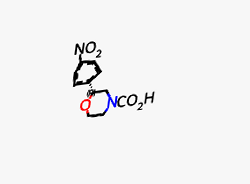 O=C(O)N1CCO[C@H](c2ccc([N+](=O)[O-])cc2)C1